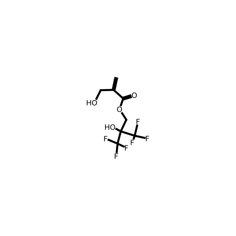 C=C(CO)C(=O)OCC(O)(C(F)(F)F)C(F)(F)F